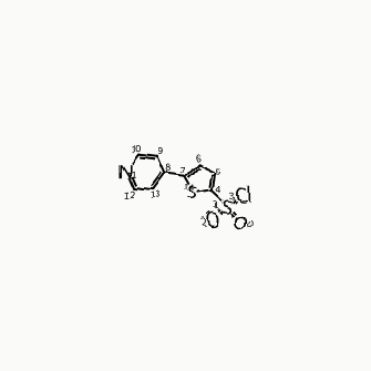 O=S(=O)(Cl)c1ccc(-c2ccncc2)s1